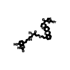 CCN(CCNCCc1ccc(O)c2[nH]c(=O)sc12)C(=O)CCOCCc1cccc(CN2CCC3(CC2)CN(C(=O)c2csc(C(C)C)n2)CCO3)c1F